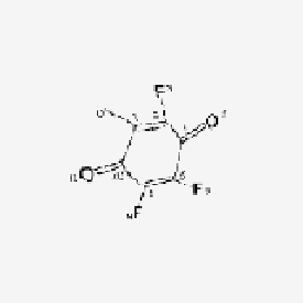 CC1=C(F)C(=O)C(F)=C(F)C1=O